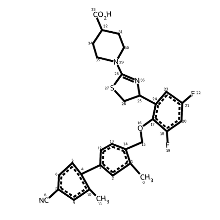 Cc1cc(-c2ccc(C#N)cc2C)ccc1COc1c(F)cc(F)cc1C1CSC(N2CCC(C(=O)O)CC2)=N1